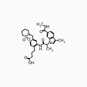 CNC(=O)c1ccc2c(C)cn(C(C)C(=O)Nc3cc(CN4CCCCS4(=O)=O)ccc3CCCC(=O)O)c2c1